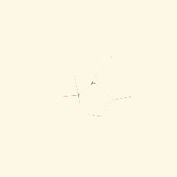 COC1(Cl)SC=C(C)C1=O